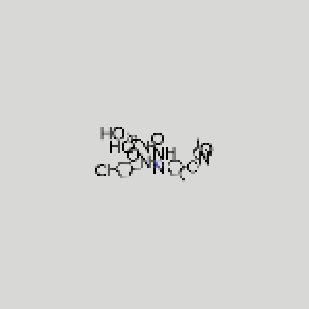 Cc1cc(Oc2ccc(/N=c3\[nH]c(=O)n(C[C@H](O)CO)c(=O)n3Cc3ccc(Cl)cc3)cc2C)no1